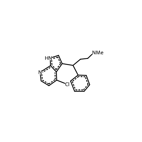 CNCCC(c1ccccc1)c1c[nH]c2nccc(Cl)c12